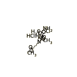 CCOC(=O)CCCCCN1CC[C@H](NC(=O)c2cc(Cl)c(N)cc2OC)[C@H](OC)C1.Cl